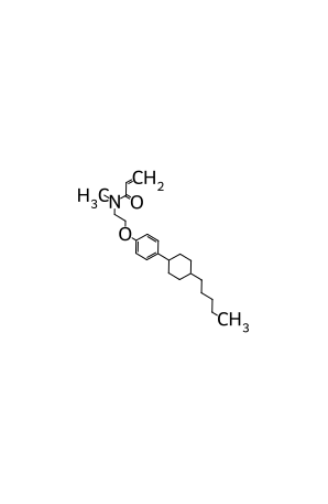 C=CC(=O)N(C)CCOc1ccc(C2CCC(CCCCC)CC2)cc1